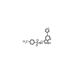 Cc1ccc(S(=O)(=O)NCc2c[nH]c3ncc(-c4ccsc4)cc23)cc1